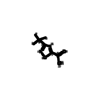 CC(C)(C)c1noc(C(=O)O)n1